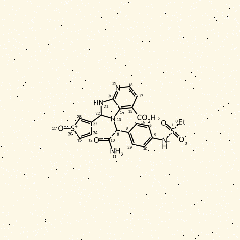 CCS(=O)(=O)Nc1ccc(C(C(N)=O)N2c3c(C(=O)O)ccnc3NC2c2cc[s+]([O-])c2)cc1